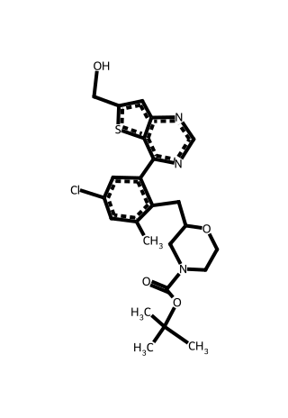 Cc1cc(Cl)cc(-c2ncnc3cc(CO)sc23)c1CC1CN(C(=O)OC(C)(C)C)CCO1